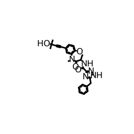 CN1C(=O)C(NC(=O)c2n[nH]c(Cc3ccccc3)n2)COc2ccc(C#CC(C)(C)O)cc21